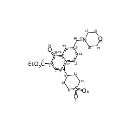 CCOC(=O)c1cn(C2CCS(=O)(=O)CC2)c2ccc(CN3CCOCC3)cc2c1=O